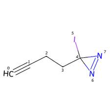 C#CCCC1(I)N=N1